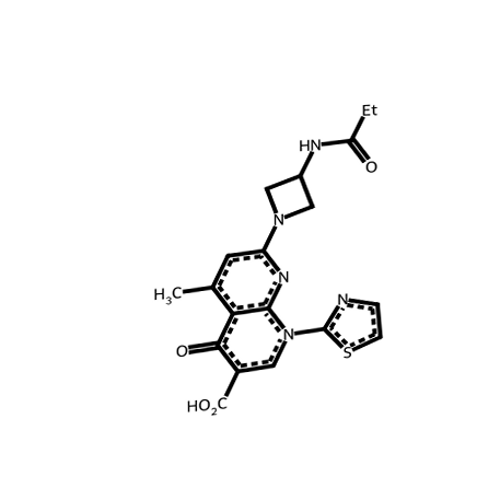 CCC(=O)NC1CN(c2cc(C)c3c(=O)c(C(=O)O)cn(-c4nccs4)c3n2)C1